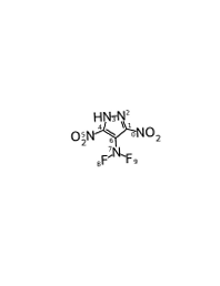 O=[N+]([O-])c1n[nH]c([N+](=O)[O-])c1N(F)F